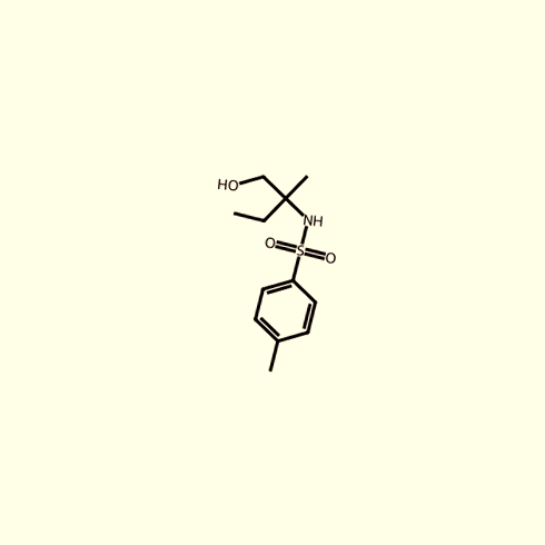 CCC(C)(CO)NS(=O)(=O)c1ccc(C)cc1